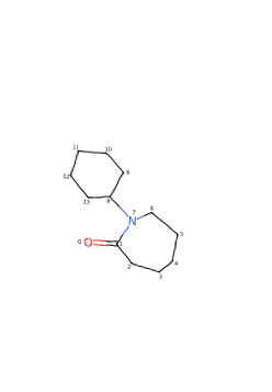 O=C1CCCCCN1C1CCCCC1